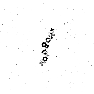 CC(C)(C)OC(=O)NS(=O)(=O)N1CCN(c2cccc3c2ccn3-c2ccnc(N[C@H]3CC[C@H](NS(C)(=O)=O)CC3)n2)CC1